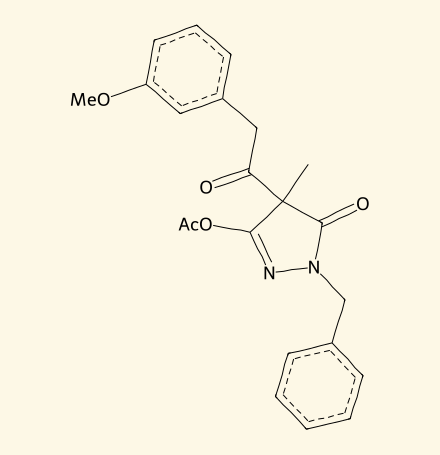 COc1cccc(CC(=O)C2(C)C(=O)N(Cc3ccccc3)N=C2OC(C)=O)c1